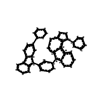 c1ccc(-c2ccc3c4ccccc4n(-c4cccc(-n5c6ccccc6c6c7c(ccc65)ccn7-c5ccccc5)c4)c3c2)cc1